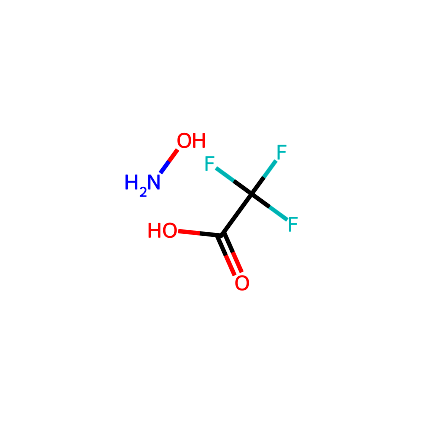 NO.O=C(O)C(F)(F)F